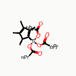 CCCC(=O)[O][Ti]([O]C(=O)CCC)([O]C(=O)CCC)[C]1=C(C)C(C)=C(C)C1C